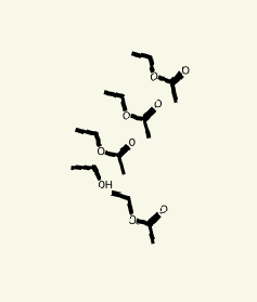 CCO.CCOC(C)=O.CCOC(C)=O.CCOC(C)=O.CCOC(C)=O